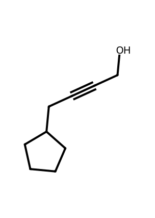 OCC#CCC1CCCC1